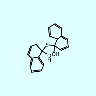 OC1(SC2(O)C=CC=C3C=CC=CC32)CC=Cc2ccccc21